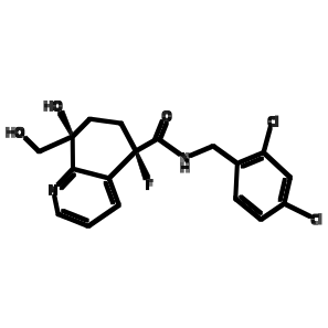 O=C(NCc1ccc(Cl)cc1Cl)[C@@]1(F)CC[C@@](O)(CO)c2ncccc21